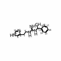 CC(NC(=N)NCCc1c[nH]cn1)c1ccccc1